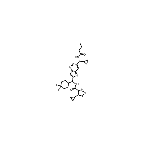 CCCC(=O)N[C@@H](c1cnn2cc([C@@H](NC(=O)c3nnsc3C3CC3)C3CCC(F)(F)CC3)nc2c1)C1CC1